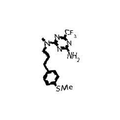 CSc1ccc(CCCN(C)c2nc(N)nc(C(F)(F)F)n2)cc1